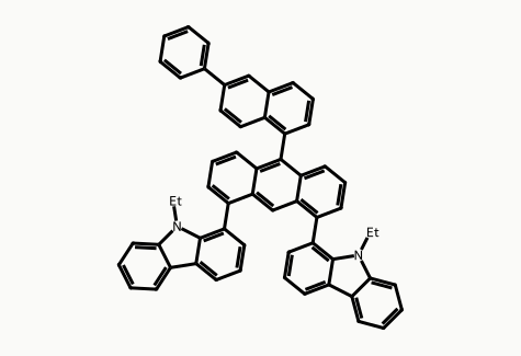 CCn1c2ccccc2c2cccc(-c3cccc4c(-c5cccc6cc(-c7ccccc7)ccc56)c5cccc(-c6cccc7c8ccccc8n(CC)c67)c5cc34)c21